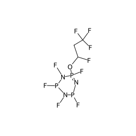 FC(CC(F)(F)F)OP1(F)=NP(F)N(F)P(F)N1F